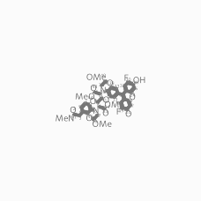 CNC(=O)Cc1ccc(OCCOc2cc(-c3c4cc(F)c(=O)cc-4oc4cc(O)c(F)cc34)ccc2N(CC(=O)OC)CC(=O)OC)c(N(CC(=O)OC)CC(=O)OC)c1